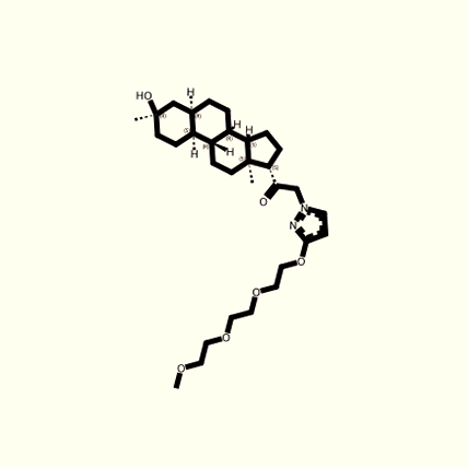 COCCOCCOCCOc1ccn(CC(=O)[C@H]2CC[C@H]3[C@@H]4CC[C@@H]5C[C@](C)(O)CC[C@@H]5[C@H]4CC[C@]23C)n1